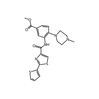 COC(=O)c1ccc(N2CCN(C)CC2)c(NC(=O)c2csc(-c3cccs3)n2)c1